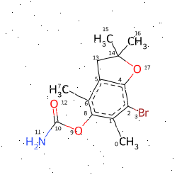 Cc1c(Br)c2c(c(C)c1OC(N)=O)CC(C)(C)O2